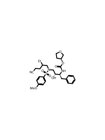 CCC(CCC#N)CN(C[C@@H](O)[C@H](Cc1ccccc1)NC(=O)O[C@H]1CCOC1)S(=O)(=O)c1ccc(OC)cc1